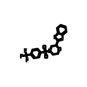 O=S(=O)(c1ccc(C(F)(F)F)cc1)N1CCOC(c2cc3ccccc3s2)C1